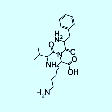 CC(C)C(N)C(=O)N(C(=O)C(N)Cc1ccccc1)C(CCCCN)C(=O)O